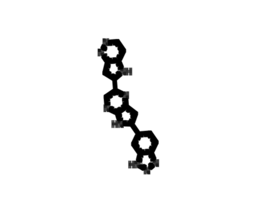 c1cc2[nH]c(-c3cnc4[nH]c(-c5ccc6nn[nH]c6c5)cc4n3)cc2nn1